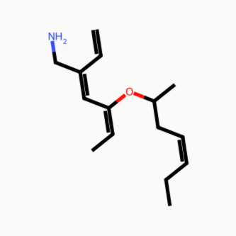 C=C/C(=C\C(=C/C)OC(C)C/C=C\CC)CN